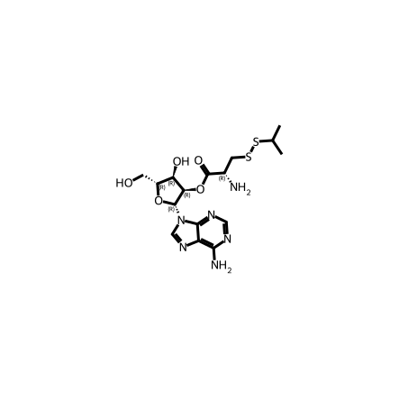 CC(C)SSC[C@H](N)C(=O)O[C@@H]1[C@H](O)[C@@H](CO)O[C@H]1n1cnc2c(N)ncnc21